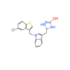 OC1=NNC(Cc2cn(Cc3csc4ccc(Cl)cc34)c3ccccc23)N1